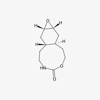 O=C1NCC[C@@H]2C[C@@H]3O[C@@H]3C[C@H]2CCO1